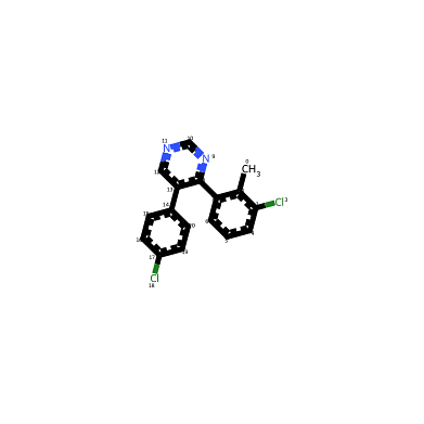 Cc1c(Cl)cccc1-c1n[c]ncc1-c1ccc(Cl)cc1